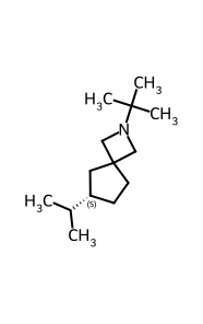 CC(C)[C@H]1CCC2(C1)CN(C(C)(C)C)C2